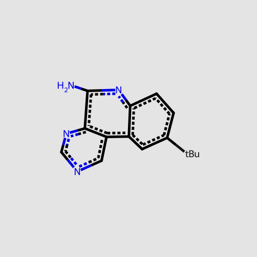 CC(C)(C)c1ccc2nc(N)c3ncncc3c2c1